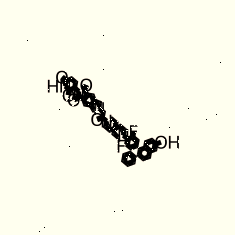 O=C1CCC(N2C(=O)c3cc4c(cc3C2=O)CN(CC(=O)N2CCC3(CC2)CCN(c2c(F)cc([C@@H]5c6ccc(O)cc6CC[C@@H]5c5ccccc5)cc2F)CC3)C4)C(=O)N1